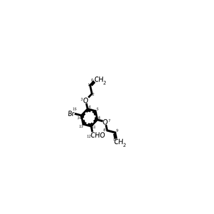 C=CCOc1cc(OCC=C)c(C=O)cc1Br